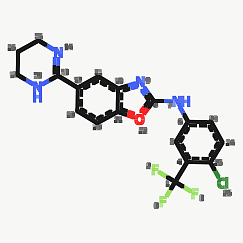 FC(F)(F)c1cc(Nc2nc3cc(C4=NCCCN4)ccc3o2)ccc1Cl